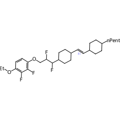 CCCCCC1CCC(/C=C/C2CCC(C(F)C(F)COc3ccc(OCC)c(F)c3F)CC2)CC1